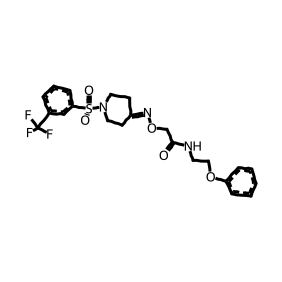 O=C(CON=C1CCN(S(=O)(=O)c2cccc(C(F)(F)F)c2)CC1)NCCOc1ccccc1